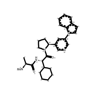 CN[C@@H](C)C(=O)N[C@H](C(=O)N1CCC[C@H]1c1cncc(-n2ccc3ccccc32)c1)C1CCCCC1